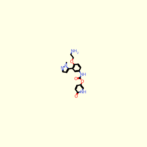 Cn1nccc1-c1cc(NC(=O)Oc2ccc(=O)[nH]c2)ccc1OCCN